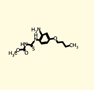 CCCCOc1ccc(NC(=S)NC(=O)OC)c(N)c1